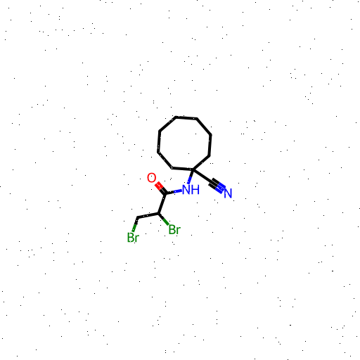 N#CC1(NC(=O)C(Br)CBr)CCCCCCC1